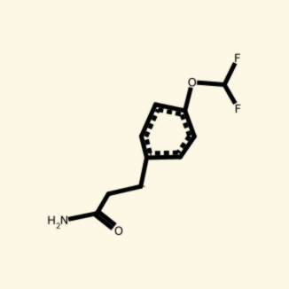 NC(=O)C[CH]c1ccc(OC(F)F)cc1